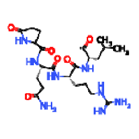 CC(C)C[C@@H]([C]=O)NC(=O)[C@H](CCCNC(=N)N)NC(=O)[C@H](CCC(N)=O)NC(=O)[C@@H]1CCC(=O)N1